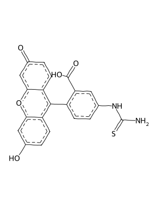 NC(=S)Nc1ccc(-c2c3ccc(=O)cc-3oc3cc(O)ccc23)c(C(=O)O)c1